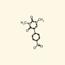 Cn1cc(-c2ccc([N+](=O)[O-])cc2)c(=O)n(C)c1=O